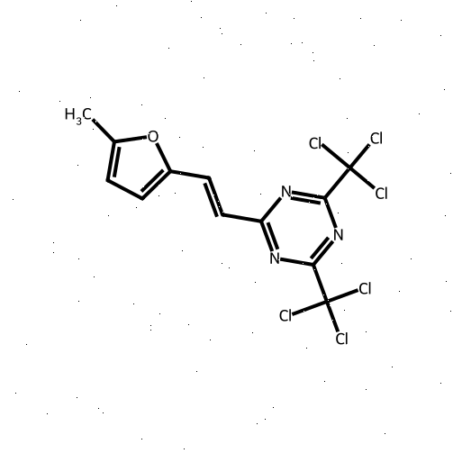 Cc1ccc(C=Cc2nc(C(Cl)(Cl)Cl)nc(C(Cl)(Cl)Cl)n2)o1